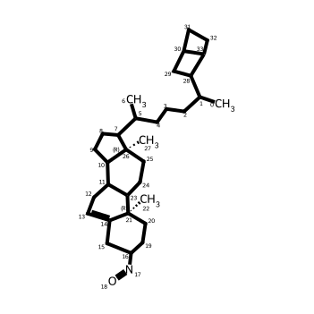 CC(CCCC(C)C1CCC2C3CC=C4CC(N=O)CC[C@]4(C)C3CC[C@]12C)C1CC2CCC21